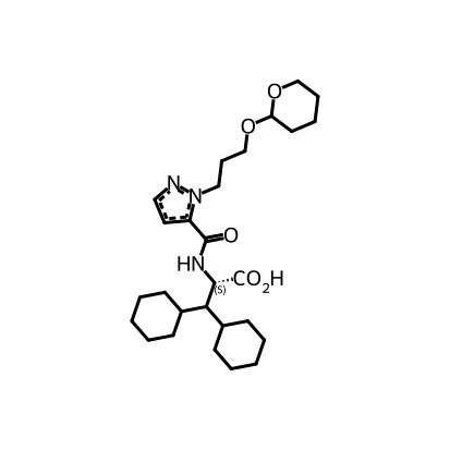 O=C(N[C@H](C(=O)O)C(C1CCCCC1)C1CCCCC1)c1ccnn1CCCOC1CCCCO1